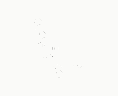 COCCCn1c([C@@H]2CCCN(C(=O)[C@@H]3CN(C(=O)c4cccc(Oc5ccccc5)c4)C[C@H]3N)C2)nc2ccccc21